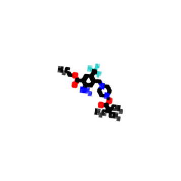 CCOC(=O)c1cc(C(F)(F)F)c(CN2CCN(OC(=O)C(C)(C)C)CC2)cc1N